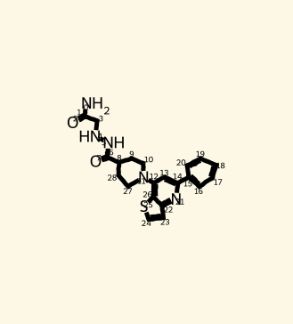 NC(=O)CNNC(=O)C1CCN(c2cc(-c3ccccc3)nc3ccsc23)CC1